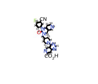 N#Cc1cc(N2C(=O)N(CC3CCN(c4ncnc5cc(C(=O)O)ncc45)CC3)Cc3cnccc32)ccc1F